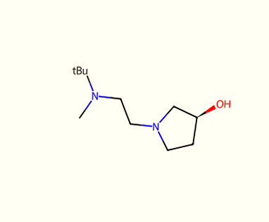 CN(CCN1CC[C@H](O)C1)C(C)(C)C